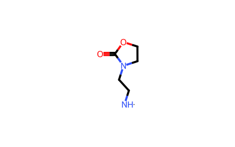 [NH]CCN1CCOC1=O